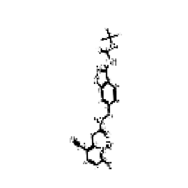 CC(C)(C)OC(=O)Nc1noc2cc(CNC(=O)Cc3c(C#N)ccc(Cl)[n+]3[O-])ccc12